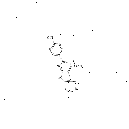 CC(=O)O.O=[N+]([O-])c1ccc(-c2ccc3c(n2)[nH]c2ccncc23)cn1